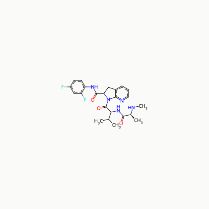 CN[C@@H](C)C(=O)NC(C(=O)N1c2ncccc2CC1C(=O)Nc1ccc(F)cc1F)C(C)C